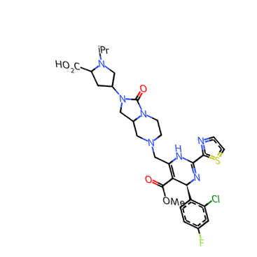 COC(=O)C1=C(CN2CCN3C(=O)N(C4CC(C(=O)O)N(C(C)C)C4)CC3C2)NC(c2nccs2)=N[C@H]1c1ccc(F)cc1Cl